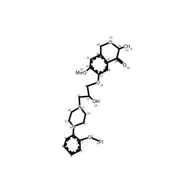 CCOc1ccccc1N1CCN(CC(O)COc2cc3c(cc2OC)COC(C)C3=O)CC1